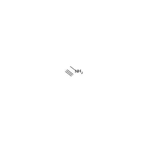 C#C.CN